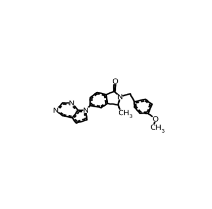 COc1ccc(CN2C(=O)c3ccc(-n4ccc5cncnc54)cc3C2C)cc1